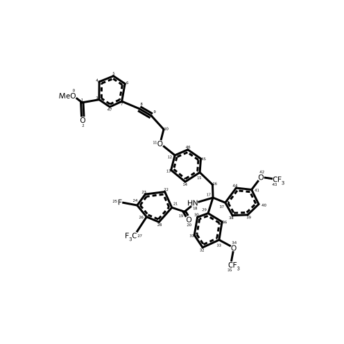 COC(=O)c1cccc(C#CCOc2ccc(CC(NC(=O)c3ccc(F)c(C(F)(F)F)c3)(c3cccc(OC(F)(F)F)c3)c3cccc(OC(F)(F)F)c3)cc2)c1